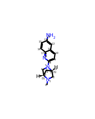 CN1C[C@@H]2C[C@H]1CN2c1ccc2cc(N)ccc2n1